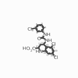 O=C(Nc1cccc(Cl)c1)NC1CC(C(=O)O)Nc2cc(Cl)cc(Cl)c21